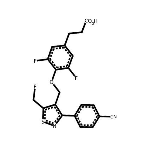 N#Cc1ccc(-c2nsc(CF)c2COc2c(F)cc(CCC(=O)O)cc2F)cc1